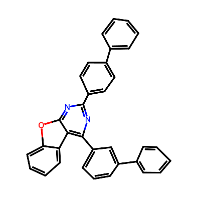 c1ccc(-c2ccc(-c3nc(-c4cccc(-c5ccccc5)c4)c4c(n3)oc3ccccc34)cc2)cc1